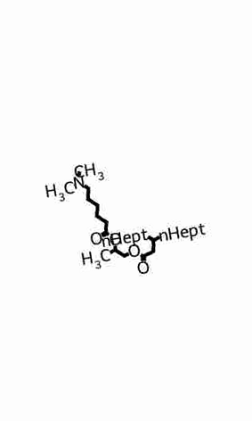 CCCCCCCC(CCCCCCC)CC(=O)OCC(C)OC(=O)CCCCCN(C)C